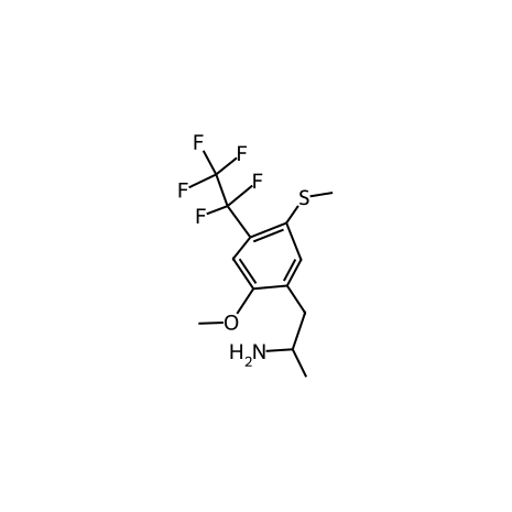 COc1cc(C(F)(F)C(F)(F)F)c(SC)cc1CC(C)N